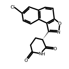 O=C1CC[C@H](c2noc3ccc4cc(Cl)ccc4c23)C(=O)N1